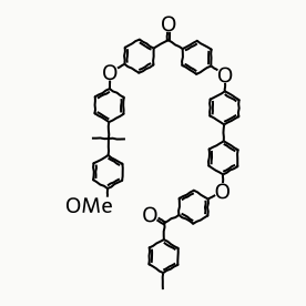 COc1ccc(C(C)(C)c2ccc(Oc3ccc(C(=O)c4ccc(Oc5ccc(-c6ccc(Oc7ccc(C(=O)c8ccc(C)cc8)cc7)cc6)cc5)cc4)cc3)cc2)cc1